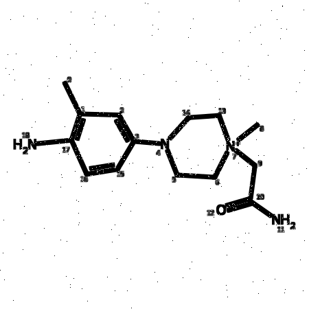 Cc1cc(N2CC[N+](C)(CC(N)=O)CC2)ccc1N